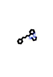 c1ccc(CCCC(/N=C2/CCCN2)c2ccccc2)cc1